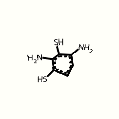 Nc1ccc(S)c(N)c1S